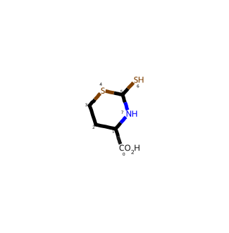 O=C(O)C1CCSC(S)N1